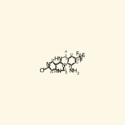 Cc1nc(N[C@H](C)c2cc(N)cc(C(F)(F)F)c2)c2cnc(Cl)cc2n1